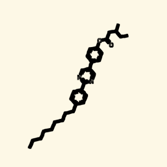 CCCCCCCCCc1ccc(-c2ncc(-c3ccc(OC(=O)CC(C)CC)cc3)cn2)cc1